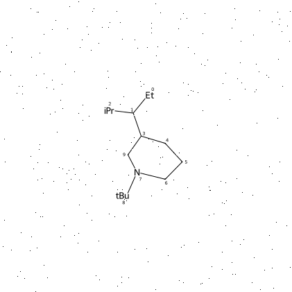 CCC(C(C)C)C1CCCN(C(C)(C)C)C1